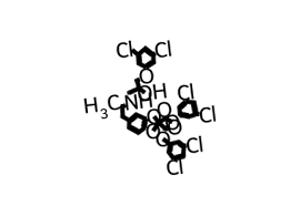 CC(Cc1ccc2c(c1)OC(C(=O)Oc1cc(Cl)cc(Cl)c1)(C(=O)Oc1cc(Cl)cc(Cl)c1)O2)NCC(O)COc1cc(Cl)cc(Cl)c1